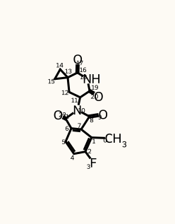 Cc1c(F)ccc2c1C(=O)N(C1CC3(CC3)C(=O)NC1=O)C2=O